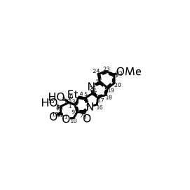 CC[C@]1(O)c2cc3n(c(=O)c2COC(=O)[C@@H]1O)Cc1cc2cc(OC)ccc2nc1-3